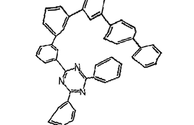 c1ccc(-c2ccc(-c3cccc(-c4cccc(-c5cccc(-c6nc(-c7ccccc7)nc(-c7ccccc7)n6)c5)c4)c3)cc2)cc1